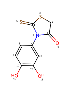 O=C1CSC(=S)N1c1ccc(O)c(O)c1